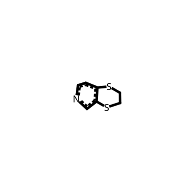 c1cc2c(cn1)SCCS2